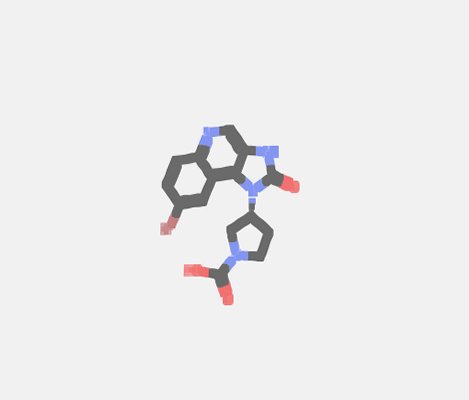 O=C(O)N1CC[C@@H](n2c(=O)[nH]c3cnc4ccc(Br)cc4c32)C1